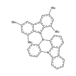 CC(C)(C)c1cc(C(C)(C)C)c2c(c1)c1cc(C(C)(C)C)cc(C(C)(C)C)c1n2B1c2ccccc2-n2c3ccccc3c3cccc1c32